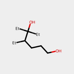 CCC(CCCO)C(O)(CC)CC